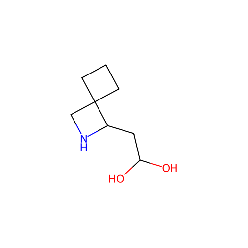 OC(O)CC1NCC12CCC2